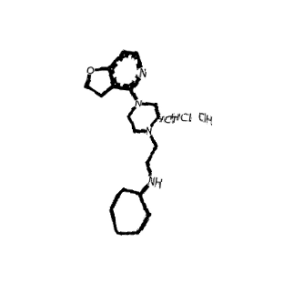 Cl.Cl.Cl.c1cc2c(c(N3CCN(CCNC4CCCCC4)CC3)n1)CCO2